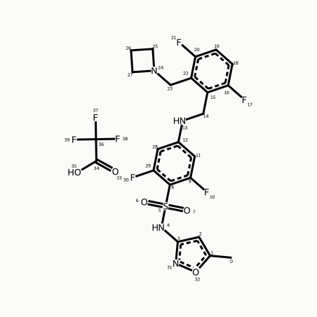 Cc1cc(NS(=O)(=O)c2c(F)cc(NCc3c(F)ccc(F)c3CN3CCC3)cc2F)no1.O=C(O)C(F)(F)F